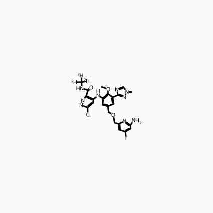 [2H]C([2H])([2H])NC(=O)c1nnc(Cl)cc1Nc1cc(COCc2cc(F)cc(N)n2)cc(-c2ncn(C)n2)c1OC